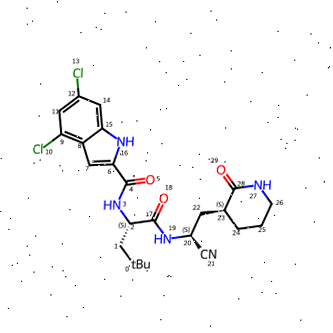 CC(C)(C)C[C@H](NC(=O)c1cc2c(Cl)cc(Cl)cc2[nH]1)C(=O)N[C@H](C#N)C[C@@H]1CCCNC1=O